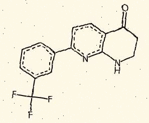 O=C1CCNc2nc(-c3cccc(C(F)(F)F)c3)ccc21